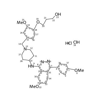 COc1ccc(-c2nnc(NC3CCN(Cc4ccc(OCCCO)c(OC)c4)CC3)c3cc(OC)ccc23)cc1.Cl.Cl